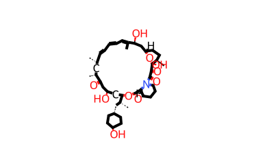 C\C1=C/C=C/C=C/[C@@H](C)C[C@@H](C)C(=O)C[C@H](O)CC([C@H](C)C[C@H]2CC[C@H](O)CC2)OC(=O)[C@@H]2CCCCN2C(=O)C(=O)[C@]2(O)O[C@@H](CC[C@H]2C)C[C@@H]1O